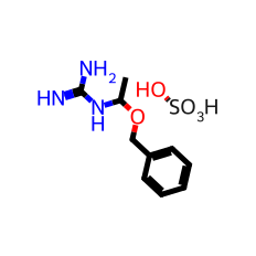 CC(NC(=N)N)OCc1ccccc1.O=S(=O)(O)O